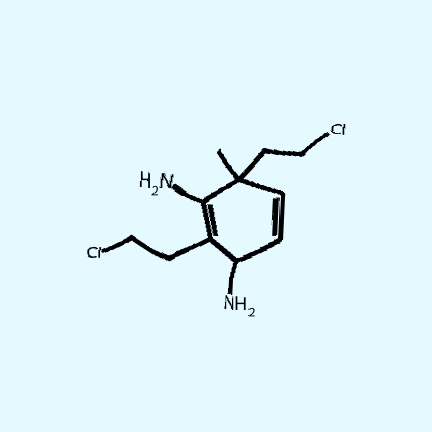 CC1(CCCl)C=CC(N)C(CCCl)=C1N